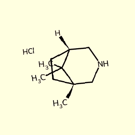 CC1(C)[C@@H]2CC[C@@]1(C)CNC2.Cl